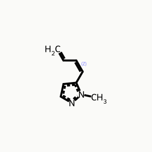 C=C/C=C\c1ccnn1C